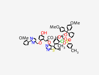 COc1ccc(C(OC[C@H](COS(=O)(=O)c2ccc(C)cc2)Oc2ccc(-c3c(C4CC4)sc4ncnc(O[C@H](Cc5cc(O)ccc5OCc5ccnc(-c6ccccc6OC)n5)C(=O)O)c34)c(C)c2Cl)(c2ccccc2)c2ccc(OC)cc2)cc1